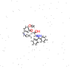 C/C=C\c1ccc(OCC)c(OCC(O)CNC(c2ccccc2)c2ccccc2)c1